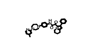 Cc1ccnc(N2CCCN(c3ccc(NC(=O)C(=O)c4c(-c5ccccc5)cc5n4CCCC5)cc3)CC2)c1